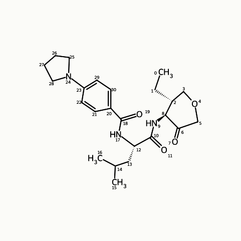 CC[C@@H]1COCC(=O)[C@H]1NC(=O)[C@H](CC(C)C)NC(=O)c1ccc(N2CCCC2)cc1